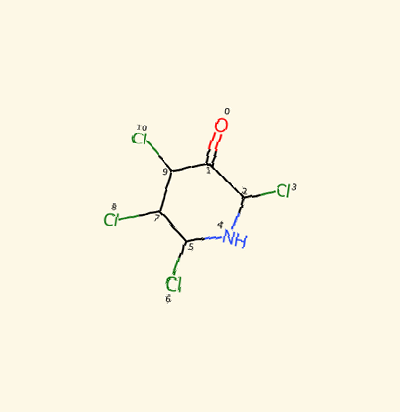 O=C1C(Cl)NC(Cl)C(Cl)C1Cl